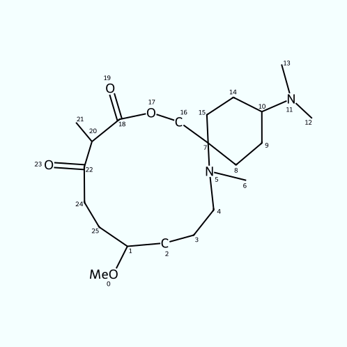 COC1CCCN(C)C2(CCC(N(C)C)CC2)COC(=O)C(C)C(=O)CC1